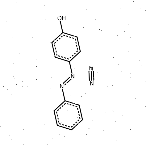 N#N.Oc1ccc(N=Nc2ccccc2)cc1